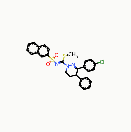 CS/C(=N\S(=O)(=O)c1ccc2ccccc2c1)N1CCC(c2ccccc2)C(c2ccc(Cl)cc2)=N1